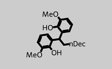 CCCCCCCCCCCC(c1cccc(OC)c1O)c1cccc(OC)c1O